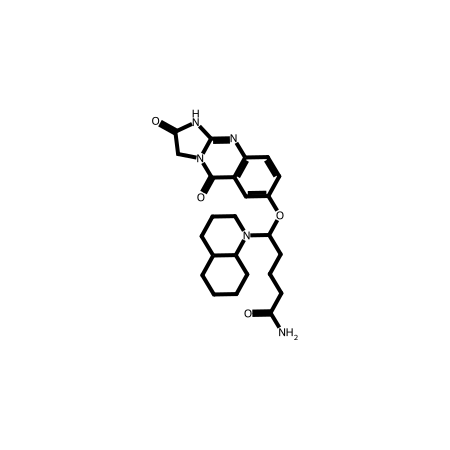 NC(=O)CCCC(Oc1ccc2nc3n(c(=O)c2c1)CC(=O)N3)N1CCCC2CCCCC21